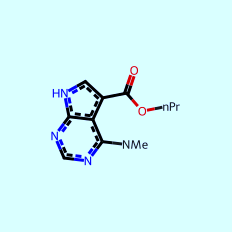 CCCOC(=O)c1c[nH]c2ncnc(NC)c12